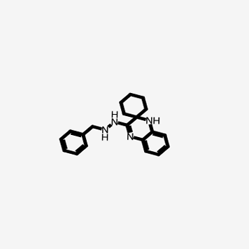 c1ccc(CNNC2=Nc3ccccc3NC23CCCCC3)cc1